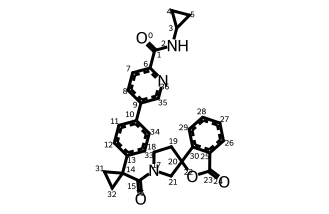 O=C(NC1CC1)c1ccc(-c2ccc(C3(C(=O)N4CCC5(C4)OC(=O)c4ccccc45)CC3)cc2)cn1